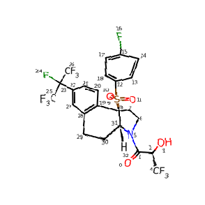 O=C([C@@H](O)C(F)(F)F)N1CC[C@@]2(S(=O)(=O)c3ccc(F)cc3)c3ccc(C(F)(C(F)(F)F)C(F)(F)F)cc3CC[C@@H]12